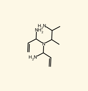 C=CC(N)N(C(N)C=C)C(C)C(C)N